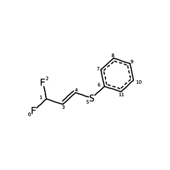 FC(F)/C=C/Sc1ccccc1